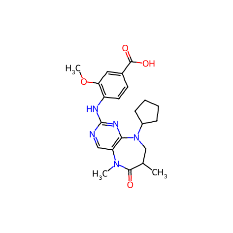 COc1cc(C(=O)O)ccc1Nc1ncc2c(n1)N(C1CCCC1)CC(C)C(=O)N2C